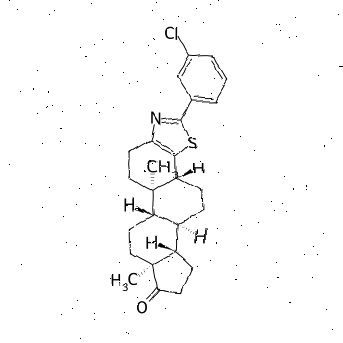 C[C@]12CCc3nc(-c4cccc(Cl)c4)sc3[C@@H]1CC[C@@H]1[C@@H]2CC[C@]2(C)C(=O)CC[C@@H]12